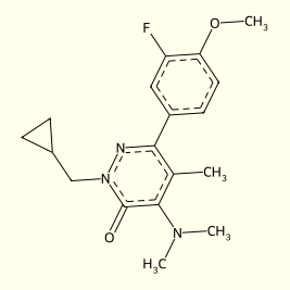 COc1ccc(-c2nn(CC3CC3)c(=O)c(N(C)C)c2C)cc1F